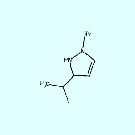 CC(I)C1C=CN(C(C)C)N1